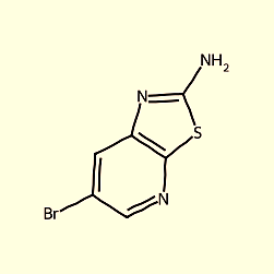 Nc1nc2cc(Br)cnc2s1